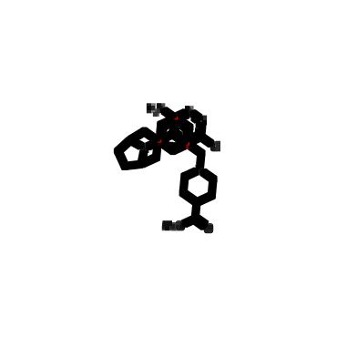 COC(=O)C1CCN(Cc2cccc(N3C4CCC3CN(c3cc(Cl)nnc3N)C4)c2)CC1